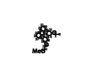 C=COc1ccc(C2(c3ccc(OCCOC)cc3)c3ccccc3-c3ccccc32)cc1